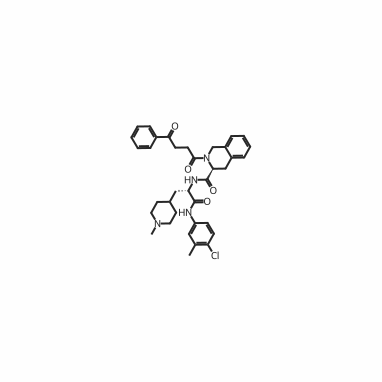 Cc1cc(NC(=O)[C@H](CC2CCN(C)CC2)NC(=O)[C@@H]2Cc3ccccc3CN2C(=O)CCC(=O)c2ccccc2)ccc1Cl